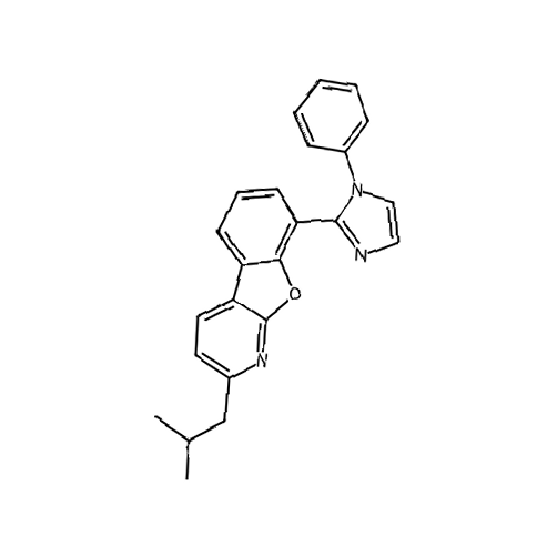 CC(C)Cc1ccc2c(n1)oc1c(-c3nccn3-c3ccccc3)cccc12